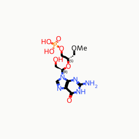 COC[C@@H](COP(=O)(O)O)O[C@H](CO)n1cnc2c(=O)[nH]c(N)nc21